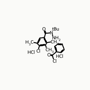 Cc1cc(C(=O)N(N)C(C)(C)C)c(C)c(C)c1Cl.Cl.Cl.O=C(Cl)c1ccccc1